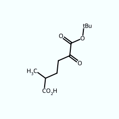 CC(CCC(=O)C(=O)OC(C)(C)C)C(=O)O